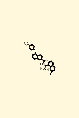 C[C@@H](NC(=O)c1ccc2c(Oc3ccc(C(F)(F)F)cc3)cccc2c1)c1cccc2ccc(=O)[nH]c12